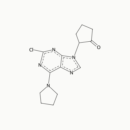 O=C1CCCC1n1cnc2c(N3CCCC3)nc(Cl)nc21